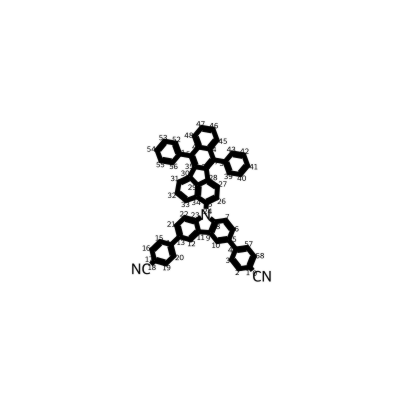 N#Cc1ccc(-c2ccc3c(c2)c2cc(-c4ccc(C#N)cc4)ccc2n3-c2ccc3c4c(cccc24)-c2c-3c(-c3ccccc3)c3ccccc3c2-c2ccccc2)cc1